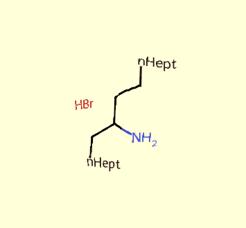 Br.CCCCCCCCCC(N)CCCCCCCC